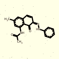 CC(=O)Nc1cc(C)cc2c1C(=O)/C(=N\Nc1ccccc1)C=C2